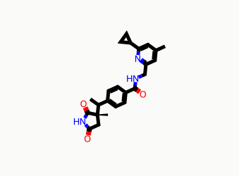 Cc1cc(CNC(=O)c2ccc(C(C)[C@]3(C)CC(=O)NC3=O)cc2)nc(C2CC2)c1